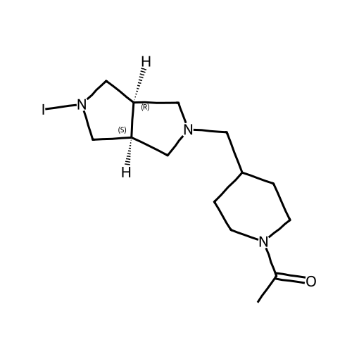 CC(=O)N1CCC(CN2C[C@H]3CN(I)C[C@H]3C2)CC1